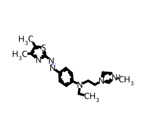 CCN(CCn1cc[n+](C)c1)c1ccc(/N=N/c2nc(C)c(C)s2)cc1